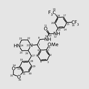 COc1ccccc1C(CNC(=O)Nc1cc(C(F)(F)F)cc(C(F)(F)F)c1)N1CCNCC1Cc1ccc2c(c1)OCO2